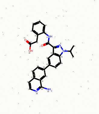 CC(C)n1nc(C(=O)Nc2ccccc2CC(=O)O)c2cc(-c3ccc4ccnc(N)c4c3)ccc21